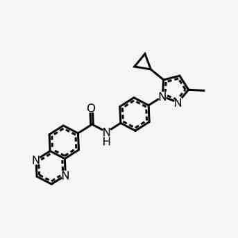 Cc1cc(C2CC2)n(-c2ccc(NC(=O)c3ccc4nccnc4c3)cc2)n1